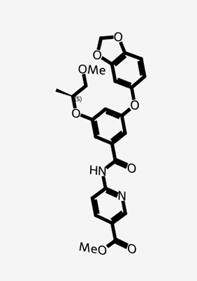 COC[C@H](C)Oc1cc(Oc2ccc3c(c2)OCO3)cc(C(=O)Nc2ccc(C(=O)OC)cn2)c1